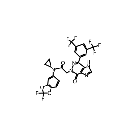 O=C(Cn1nc(-c2cc(C(F)(F)F)cc(C(F)(F)F)c2)c2[nH]cnc2c1=O)N(c1ccc2c(c1)OC(F)(F)O2)C1CC1